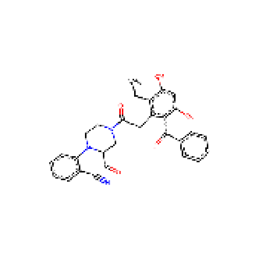 CCc1c(O)cc(O)c(C(=O)c2ccccc2)c1CC(=O)N1CCN(c2ccccc2C#N)C(C=O)C1